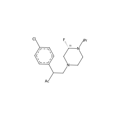 CC(=O)C(CN1CCN(C(C)C)[C@@H](F)C1)c1ccc(Cl)cc1